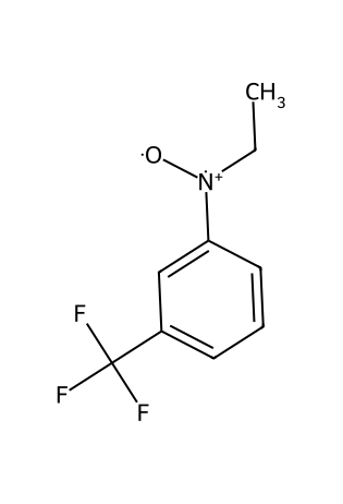 CC[N+]([O])c1cccc(C(F)(F)F)c1